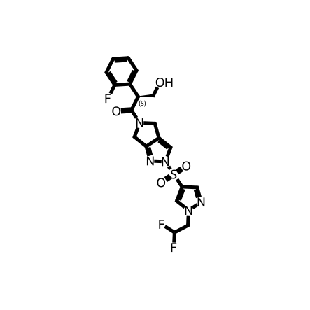 O=C([C@H](CO)c1ccccc1F)N1Cc2cn(S(=O)(=O)c3cnn(CC(F)F)c3)nc2C1